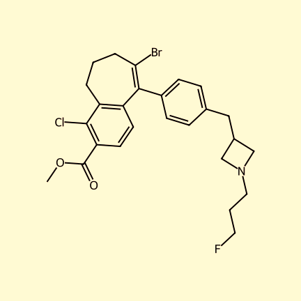 COC(=O)c1ccc2c(c1Cl)CCCC(Br)=C2c1ccc(CC2CN(CCCF)C2)cc1